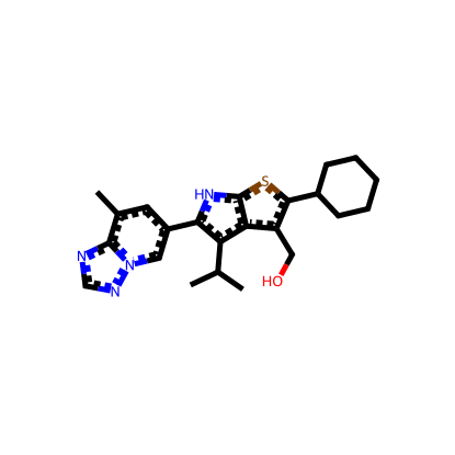 Cc1cc(-c2[nH]c3sc(C4CCCCC4)c(CO)c3c2C(C)C)cn2ncnc12